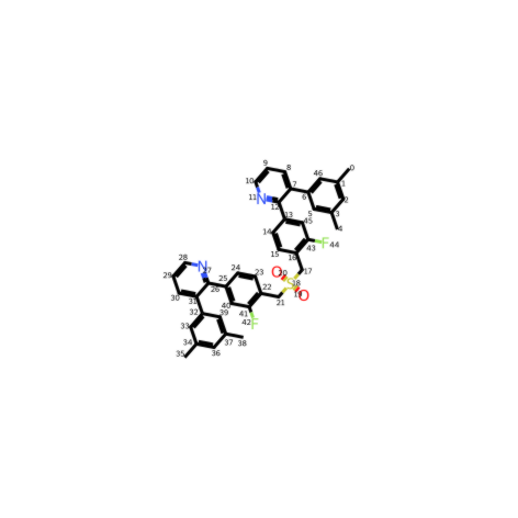 Cc1cc(C)cc(-c2cccnc2-c2ccc(CS(=O)(=O)Cc3ccc(-c4ncccc4-c4cc(C)cc(C)c4)cc3F)c(F)c2)c1